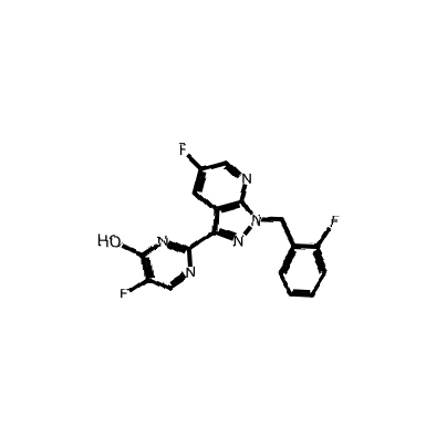 Oc1nc(-c2nn(Cc3ccccc3F)c3ncc(F)cc23)ncc1F